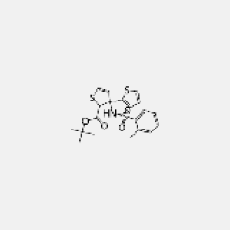 Cc1ccccc1S(=O)(=O)NC1(c2cccs2)C=CSC1C(=O)OC(C)(C)C